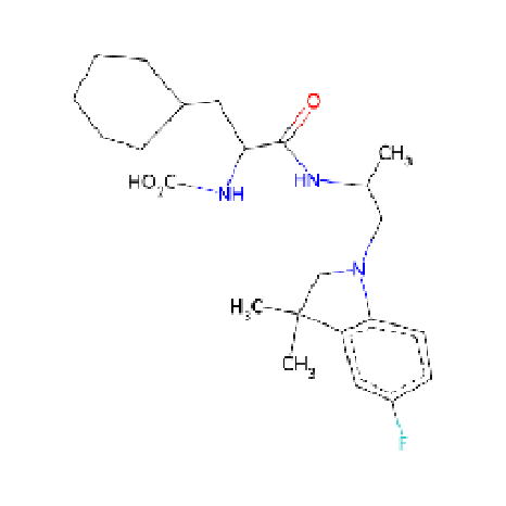 CC(CN1CC(C)(C)c2cc(F)ccc21)NC(=O)C(CC1CCCCC1)NC(=O)O